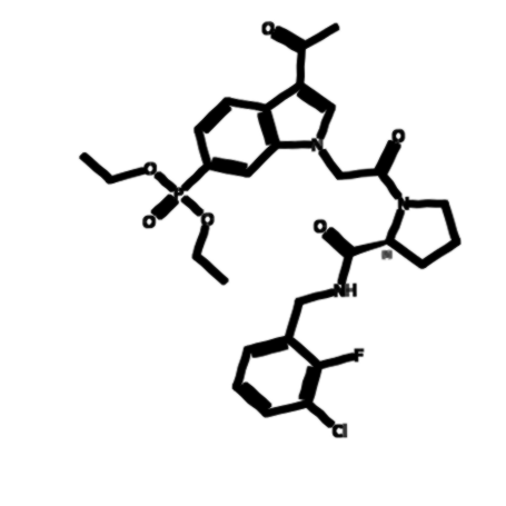 CCOP(=O)(OCC)c1ccc2c(C(C)=O)cn(CC(=O)N3CCC[C@H]3C(=O)NCc3cccc(Cl)c3F)c2c1